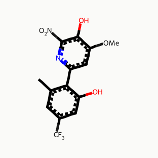 COc1cc(-c2c(C)cc(C(F)(F)F)cc2O)nc([N+](=O)[O-])c1O